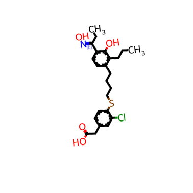 CCCc1c(CCCCSc2ccc(CC(=O)O)cc2Cl)ccc(/C(CC)=N/O)c1O